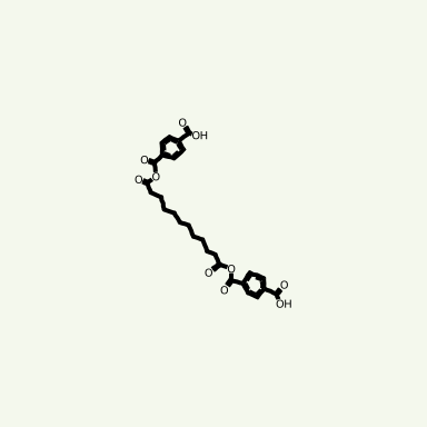 O=C(CCCCCCCCCCC(=O)OC(=O)c1ccc(C(=O)O)cc1)OC(=O)c1ccc(C(=O)O)cc1